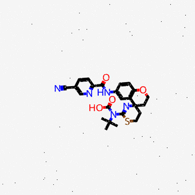 CC(C)(C)N(C(=O)O)C1=NC2(CCOc3ccc(NC(=O)c4ccc(C#N)cn4)cc32)CCS1